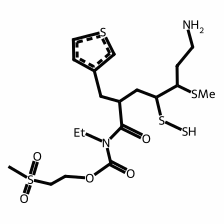 CCN(C(=O)OCCS(C)(=O)=O)C(=O)C(Cc1ccsc1)CC(SS)C(CCN)SC